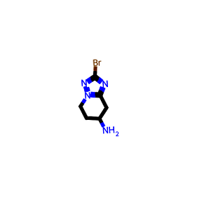 NC1CCn2nc(Br)nc2C1